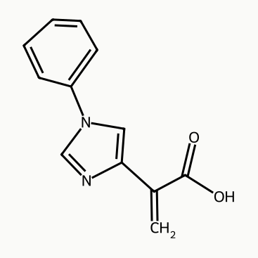 C=C(C(=O)O)c1cn(-c2ccccc2)cn1